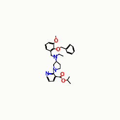 CCN(Cc1cccc(OC)c1OCc1ccccc1)[C@H]1CCN(c2ncccc2C(=O)OC(C)C)C1